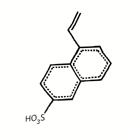 C=Cc1cccc2cc(S(=O)(=O)O)ccc12